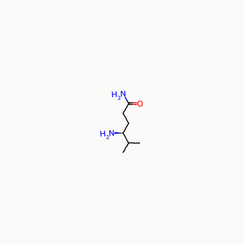 CC(C)[C@@H](N)CCC(N)=O